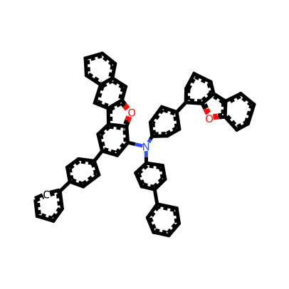 c1ccc(-c2ccc(-c3cc(N(c4ccc(-c5ccccc5)cc4)c4ccc(-c5cccc6c5oc5ccccc56)cc4)c4oc5cc6ccccc6cc5c4c3)cc2)cc1